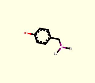 CCP(CC)Cc1ccc(O)cc1